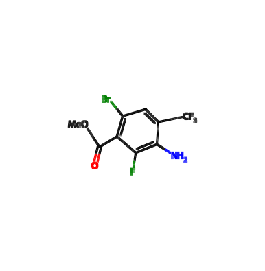 COC(=O)c1c(Br)cc(C(F)(F)F)c(N)c1F